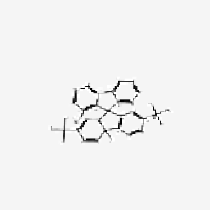 CC(C)(C)C1=CC2C(C)(C=C1)c1ccc(C(C)(C)C)cc1C21c2ccccc2-c2cccc(Br)c21